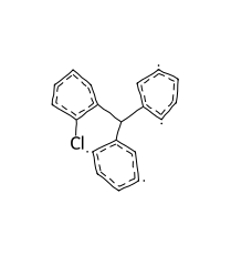 Clc1ccccc1C(c1[c]cc[c]c1)c1[c]cc[c]c1